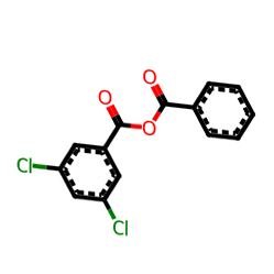 O=C(OC(=O)c1cc(Cl)cc(Cl)c1)c1ccccc1